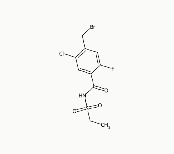 CCS(=O)(=O)NC(=O)c1cc(Cl)c(CBr)cc1F